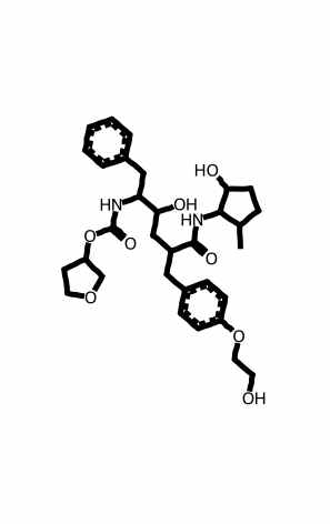 CC1CCC(O)C1NC(=O)C(Cc1ccc(OCCO)cc1)CC(O)C(Cc1ccccc1)NC(=O)OC1CCOC1